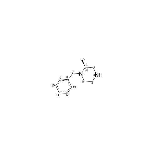 C[C@H]1CNCCN1Cc1ccccc1